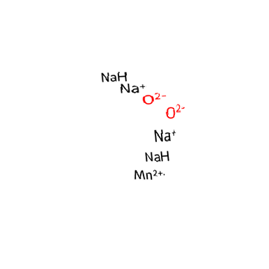 [Mn+2].[Na+].[Na+].[NaH].[NaH].[O-2].[O-2]